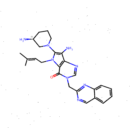 CC(C)=CCn1c(N2CCC[C@H](N)C2)c(N)c2ncn(Cc3ncc4ccccc4n3)c(=O)c21